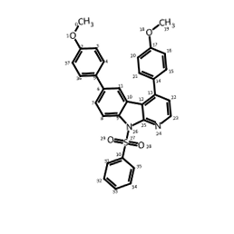 COc1ccc(-c2ccc3c(c2)c2c(-c4ccc(OC)cc4)ccnc2n3S(=O)(=O)c2ccccc2)cc1